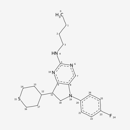 CCCCNc1ncc2c(n1)C(C1CCSCC1)CN2c1ccc(F)cc1